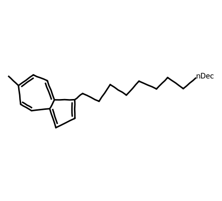 CCCCCCCCCCCCCCCCCCc1ccc2ccc(C)ccc1-2